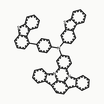 c1ccc2c(c1)sc1cc(N(c3ccc(-c4cccc5sc6ccccc6c45)cc3)c3ccc4c(c3)n3c5ccccc5c5ccc6c7ccccc7n4c6c53)ccc12